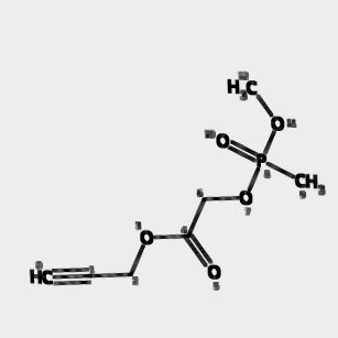 C#CCOC(=O)COP(C)(=O)OC